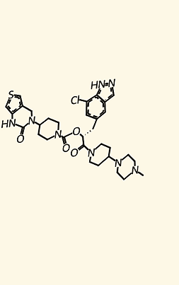 CN1CCN(C2CCN(C(=O)[C@@H](Cc3cc(Cl)c4[nH]ncc4c3)OC(=O)N3CCC(N4Cc5cscc5NC4=O)CC3)CC2)CC1